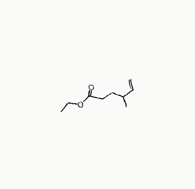 C=CC(C)CCC(=O)OCC